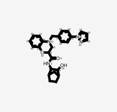 O=C(NC1C2CCC(C2)C1O)C1CN(Cc2ccc(-n3cccn3)cc2)c2ccccc2O1